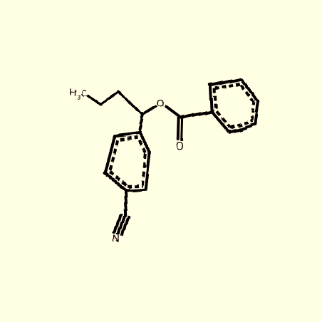 CCCC(OC(=O)c1ccccc1)c1ccc(C#N)cc1